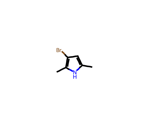 Cc1cc(Br)c(C)[nH]1